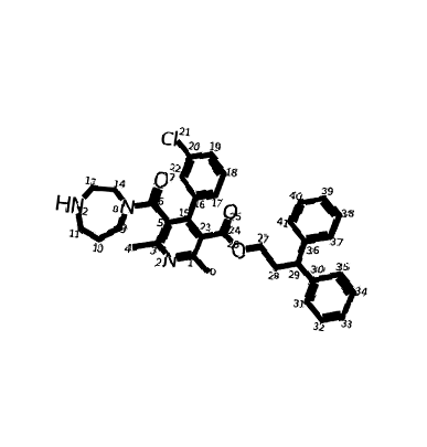 Cc1nc(C)c(C(=O)N2CCCNCC2)c(-c2cccc(Cl)c2)c1C(=O)OCCC(c1ccccc1)c1ccccc1